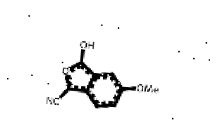 COc1ccc2c(C#N)oc(O)c2c1